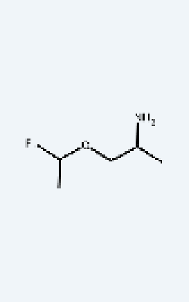 CCC(C)OCC(C)N